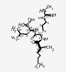 CCC/C=C(\C)C(=O)N[C@@H](CCCNC(=N)NC)C(=O)N[C@@H](CC(C)C)B(O)O